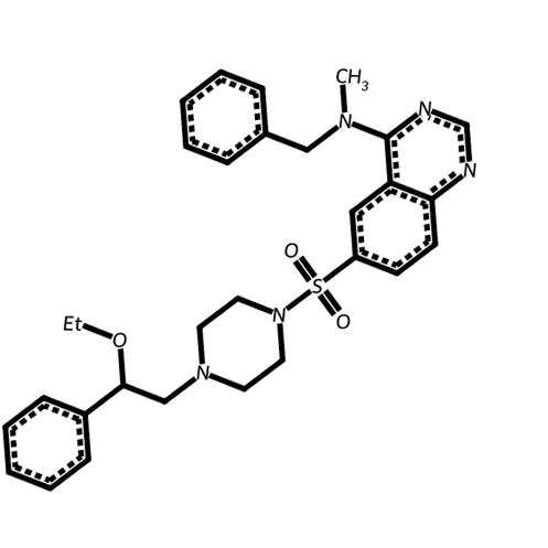 CCOC(CN1CCN(S(=O)(=O)c2ccc3ncnc(N(C)Cc4ccccc4)c3c2)CC1)c1ccccc1